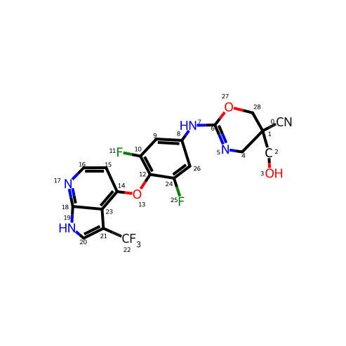 N#CC1(CO)CN=C(Nc2cc(F)c(Oc3ccnc4[nH]cc(C(F)(F)F)c34)c(F)c2)OC1